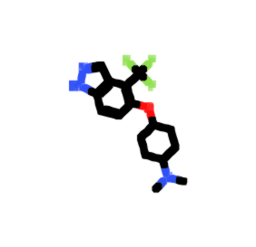 CN(C)C1CCC(Oc2ccc3[nH]ncc3c2C(F)(F)F)CC1